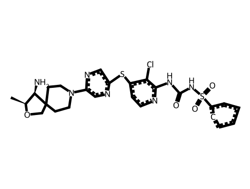 C[C@@H]1OCC2(CCN(c3cnc(Sc4ccnc(NC(=O)NS(=O)(=O)c5ccccc5)c4Cl)cn3)CC2)[C@@H]1N